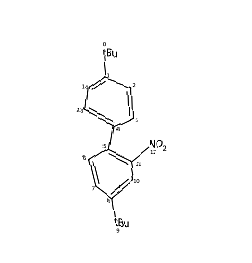 CC(C)(C)c1ccc(-c2ccc(C(C)(C)C)cc2[N+](=O)[O-])cc1